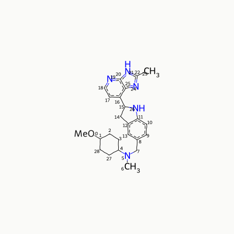 COC1CCC(N(C)Cc2ccc3c(c2)CC(c2ccnc4[nH]c(C)nc24)N3)CC1